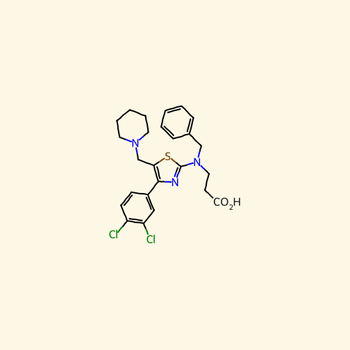 O=C(O)CCN(Cc1ccccc1)c1nc(-c2ccc(Cl)c(Cl)c2)c(CN2CCCCC2)s1